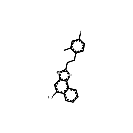 Cc1cc(F)ccc1CCc1nc2c(cc(O)c3ccccc32)[nH]1